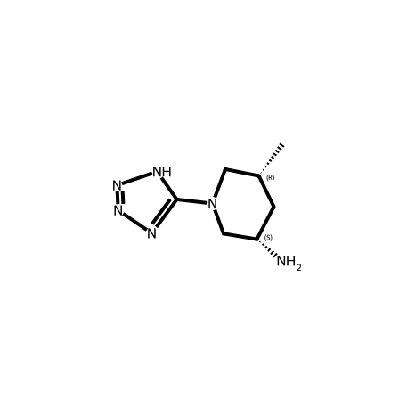 C[C@@H]1C[C@H](N)CN(c2nnn[nH]2)C1